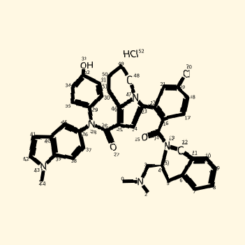 CN(C)C[C@@H]1Cc2ccccc2CN1C(=O)c1ccc(Cl)cc1-c1cc(C(=O)N(c2ccc(O)cc2)c2ccc3c(ccn3C)c2)c2n1CCCC2.Cl